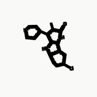 Cc1c(-c2ccncc2)c2[nH]c3ccc(Cl)cc3c2[nH]c1=O